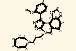 COc1ccccc1-c1cc(N(CCCN2C=CC=CC=C2)Cc2ccc3c(c2)OCO3)on1